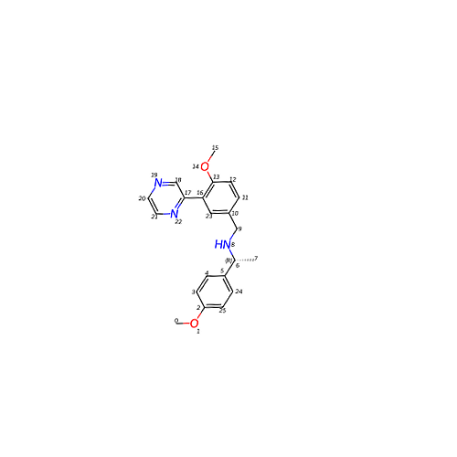 COc1ccc([C@@H](C)NCc2ccc(OC)c(-c3cnccn3)c2)cc1